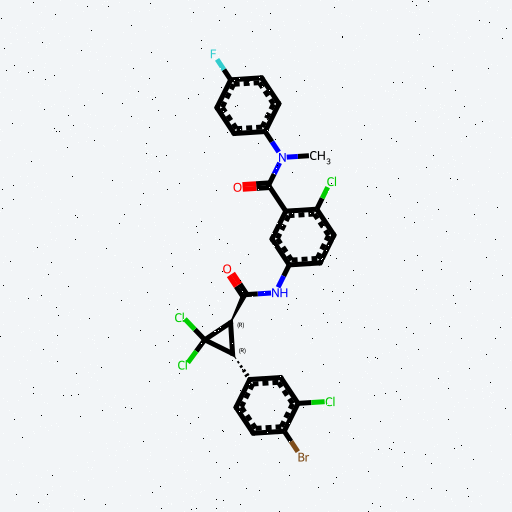 CN(C(=O)c1cc(NC(=O)[C@H]2[C@H](c3ccc(Br)c(Cl)c3)C2(Cl)Cl)ccc1Cl)c1ccc(F)cc1